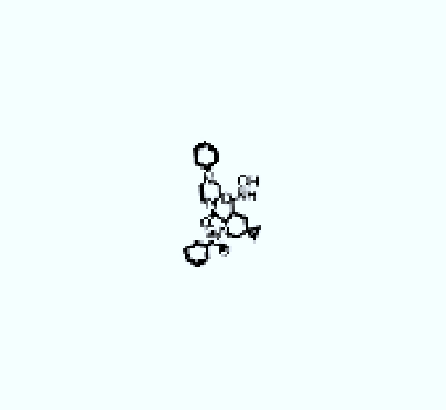 O=C(NO)C1CC2(CC2)CN(S(=O)(=O)c2ccccc2)C1C(=O)N1CCN(c2ccccc2)CC1